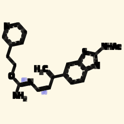 C=C(/C=C\N=C(/N)OCCc1cccnc1)c1ccc2nc(NC(C)=O)sc2c1